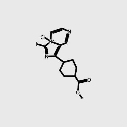 COC(=O)C1CCC(C2=C3C=NC=C[N+]3(Cl)C(I)=N2)CC1